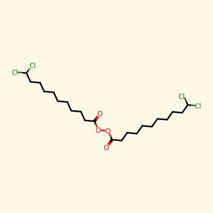 O=C(CCCCCCCCCC(Cl)Cl)OOC(=O)CCCCCCCCCC(Cl)Cl